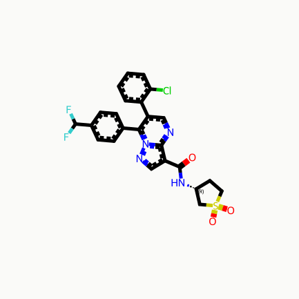 O=C(N[C@@H]1CCS(=O)(=O)C1)c1cnn2c(-c3ccc(C(F)F)cc3)c(-c3ccccc3Cl)cnc12